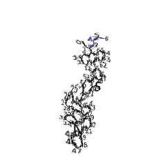 C=C/C(=C\C=C/C)c1c2ccccc2c(-c2ccc3sc4cc(-c5c6ccccc6c(-c6cccc7c6c6ccccc6n7-c6ccccc6)c6ccccc56)ccc4c3c2)c2ccccc12